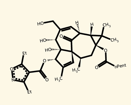 CCCCCC(=O)O[C@@]12C[C@@H](C)[C@]34C=C(C)[C@H](OC(=O)c5c(CC)noc5CC)[C@@]3(O)[C@H](O)C(CO)=C[C@H](C4=O)[C@@H]1C2(C)C